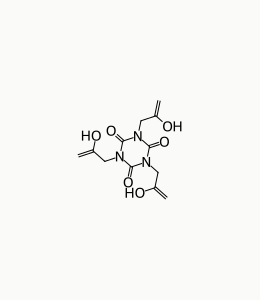 C=C(O)Cn1c(=O)n(CC(=C)O)c(=O)n(CC(=C)O)c1=O